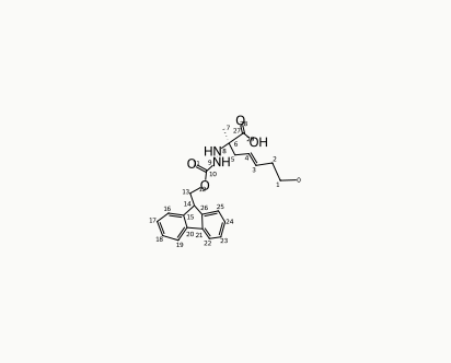 CCCC=CC[C@@](C)(NNC(=O)OCC1c2ccccc2-c2ccccc21)C(=O)O